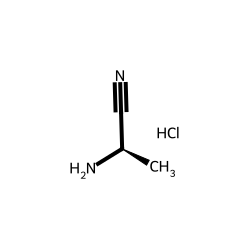 C[C@@H](N)C#N.Cl